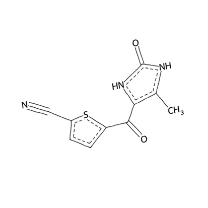 Cc1[nH]c(=O)[nH]c1C(=O)c1ccc(C#N)s1